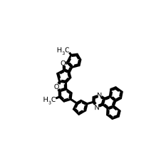 Cc1cccc2c1oc1cc3oc4c(C)cc(-c5cccc(-c6cnc7c8ccccc8c8ccccc8c7n6)c5)cc4c3cc12